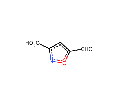 O=Cc1cc(C(=O)O)no1